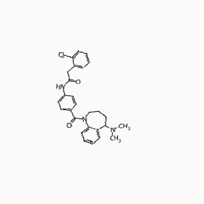 CN(C)C1CCCN(C(=O)c2ccc(NC(=O)Cc3ccccc3Cl)cc2)c2ccccc21